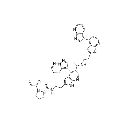 C=CC(=O)N1CCC[C@H]1C(=O)NCCc1cc2c(-c3cnn4ncccc34)c(C(C)NCCc3cc4c(-c5cnn6ncccc56)ccnc4[nH]3)cnc2[nH]1